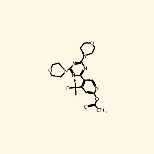 CC(=O)Oc1cc(C(F)(F)F)c(-c2nc(N3CCOCC3)nc(N3CCOCC3)n2)cn1